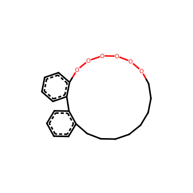 c1ccc2c(c1)CCCCCCCCOOOOOOc1ccccc1-2